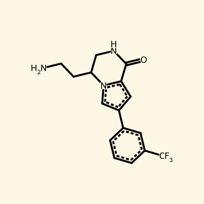 NCCC1CNC(=O)c2cc(-c3cccc(C(F)(F)F)c3)cn21